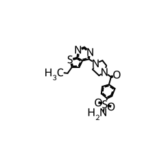 CCc1cc2c(N3CCN(C(=O)c4ccc(S(N)(=O)=O)cc4)CC3)ncnc2s1